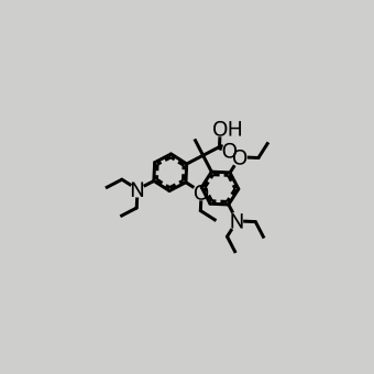 CCOc1cc(N(CC)CC)ccc1C(C)(C(=O)O)c1ccc(N(CC)CC)cc1OCC